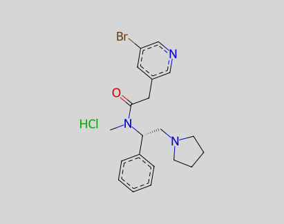 CN(C(=O)Cc1cncc(Br)c1)[C@H](CN1CCCC1)c1ccccc1.Cl